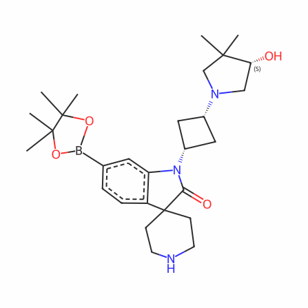 CC1(C)CN([C@H]2C[C@@H](N3C(=O)C4(CCNCC4)c4ccc(B5OC(C)(C)C(C)(C)O5)cc43)C2)C[C@H]1O